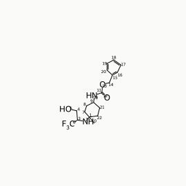 CC1(N[C@H](CO)C(F)(F)F)CCC(NC(=O)OCc2ccccc2)CC1